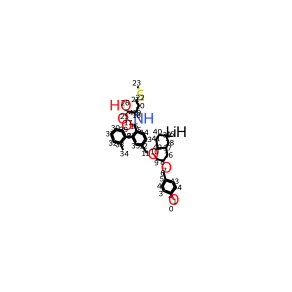 COc1ccc(COC(COCc2ccc(C(=O)NC(CCSC)C(=O)O)c(-c3ccccc3C)c2)CC2CCCCC2)cc1.[LiH]